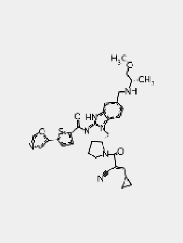 COC[C@H](C)NCc1ccc2c(c1)[nH]c(=NC(=O)c1ccc(-c3cnco3)s1)n2C[C@H]1CCCN1C(=O)C(C#N)=CC1CC1